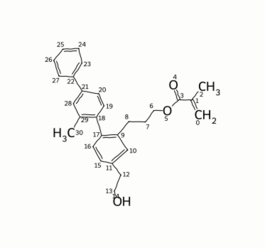 C=C(C)C(=O)OCCCc1cc(CCO)ccc1-c1ccc(-c2ccccc2)cc1C